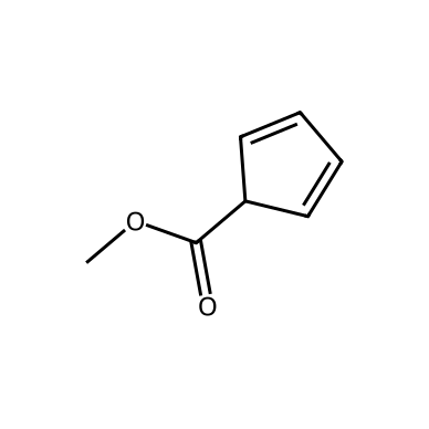 COC(=O)C1C=CC=C1